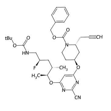 C#CC[C@@H]1C[C@@H](Oc2cc(O[C@@H](C)[C@@H](C)C[C@@H](F)CNC(=O)OC(C)(C)C)nc(C#N)n2)CCN1C(=O)OCc1ccccc1